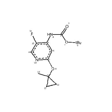 CC(C)(C)OC(=O)Nc1cc(OC2(C)CC2)ncc1F